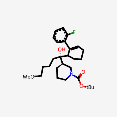 COCCCC[C@@](O)(C1CCCC=C1c1ccccc1F)[C@@H]1CCCN(C(=O)OC(C)(C)C)C1